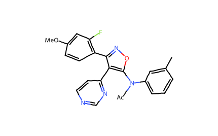 COc1ccc(-c2noc(N(C(C)=O)c3cccc(C)c3)c2-c2ccncn2)c(F)c1